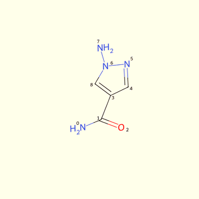 NC(=O)c1cnn(N)c1